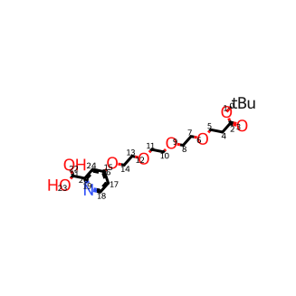 CC(C)(C)OC(=O)CCOCCOCCOCCOc1ccnc(C(O)O)c1